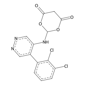 O=C1CC(=O)OC(Nc2cnncc2-c2cccc(Cl)c2Cl)O1